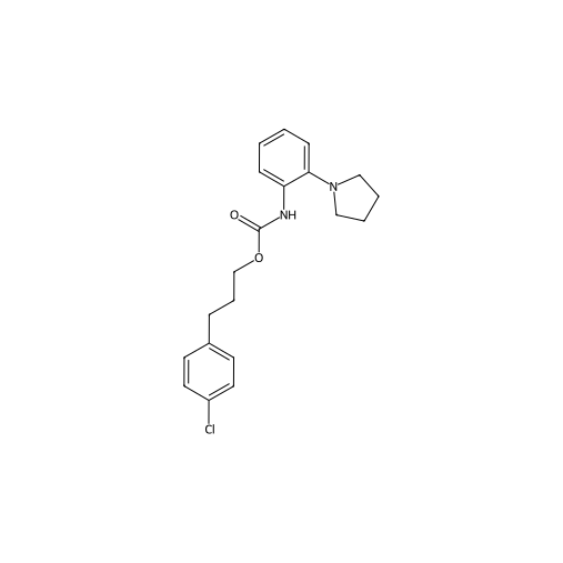 O=C(Nc1ccccc1N1CCCC1)OCCCc1ccc(Cl)cc1